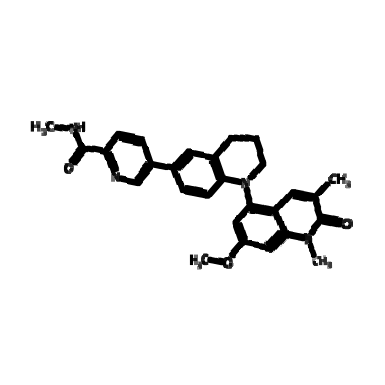 CNC(=O)c1ccc(-c2ccc3c(c2)CCCN3c2cc(OC)cc3c2cc(C)c(=O)n3C)cn1